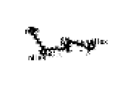 CCCCCCCCC1C(CCCCCC)CCC(C)C1CCCCCCCCN(C(C)=O)C1CC(=O)N(CCCCCCCCC2C(CCCCCCCCN3C(=O)C=CC3=O)CCC(CCCCCC)C2CCCCCCCC)C1=O